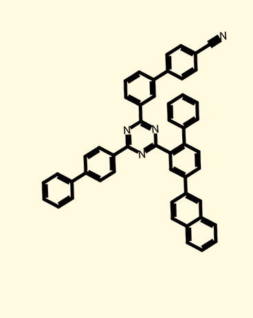 N#Cc1ccc(-c2cccc(-c3nc(-c4ccc(-c5ccccc5)cc4)nc(-c4cc(-c5ccc6ccccc6c5)ccc4-c4ccccc4)n3)c2)cc1